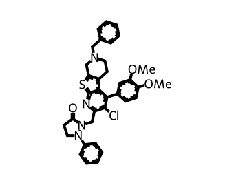 COc1ccc(-c2c(Cl)c(CN3C(=O)CCN3c3ccccc3)nc3sc4c(c23)CCN(Cc2ccccc2)C4)cc1OC